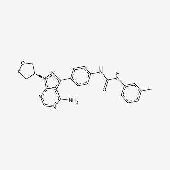 Cc1cccc(NC(=O)Nc2ccc(-c3nn([C@H]4CCOC4)c4ncnc(N)c34)cc2)c1